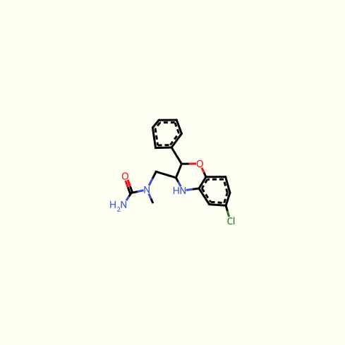 CN(CC1Nc2cc(Cl)ccc2OC1c1ccccc1)C(N)=O